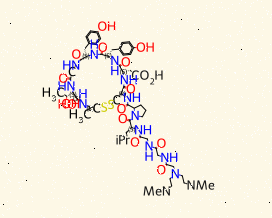 CNCCN(CCNC)CC(=O)NCC(=O)NCC(=O)N[C@@H](CC(C)C)C(=O)N1CCCC1C(=O)N[C@H]1CSSC[C@@H](C)N[C@@H](O)[C@H](C(C)O)NC(=O)CNC(=O)[C@H](Cc2ccc(O)cc2)NC(=O)[C@H](Cc2ccc(O)cc2)NC(=O)[C@H](CC(=O)O)NC1=O